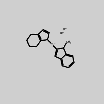 CC1[C]([Ti+2][CH]2C=CC3=C2CCCC3)=Cc2ccccc21.[Br-].[Br-]